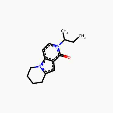 CCC(C)n1ccc2c(cc3n2CCCC3)c1=O